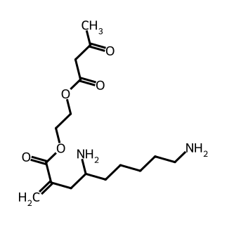 C=C(CC(N)CCCCCN)C(=O)OCCOC(=O)CC(C)=O